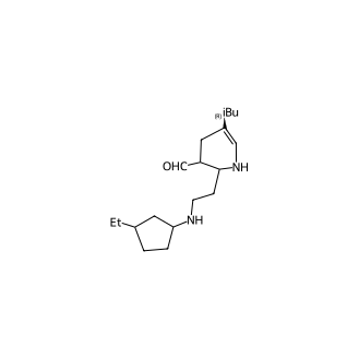 CCC1CCC(NCCC2NC=C([C@H](C)CC)CC2C=O)C1